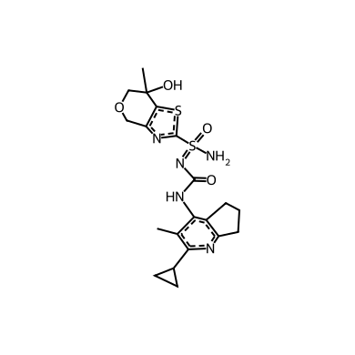 Cc1c(C2CC2)nc2c(c1NC(=O)N=S(N)(=O)c1nc3c(s1)C(C)(O)COC3)CCC2